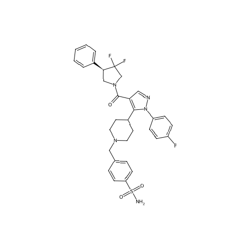 NS(=O)(=O)c1ccc(CN2CCC(c3c(C(=O)N4C[C@@H](c5ccccc5)C(F)(F)C4)cnn3-c3ccc(F)cc3)CC2)cc1